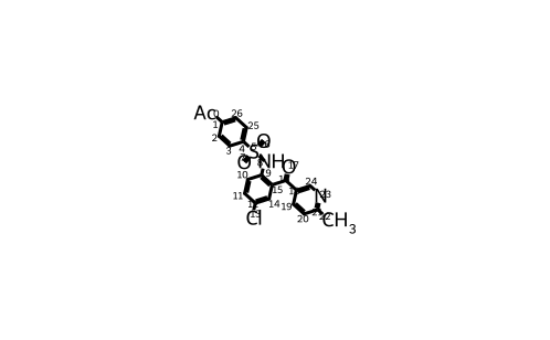 CC(=O)c1ccc(S(=O)(=O)Nc2ccc(Cl)cc2C(=O)c2ccc(C)nc2)cc1